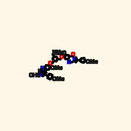 CNCc1cc(COc2cc3c(cc2OC)C(=O)N2C=C(c4ccc(OC)cc4)CC2C=N3)cc(COc2cc(/N=C\C3CC(c4ccc(OC)cc4)=CN3C=O)c(C)cc2OC)c1